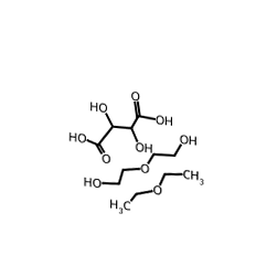 CCOCC.O=C(O)C(O)C(O)C(=O)O.OCCOCCO